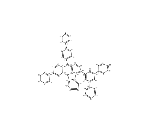 c1ccc(-c2ccc(N(c3ccc(-c4ccccc4)cc3)c3ccc(-c4nc(-c5ccccc5)cc(-c5ccccc5)n4)c4c3oc3ccccc34)cc2)cc1